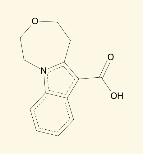 O=C(O)c1c2n(c3ccccc13)CCOCC2